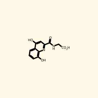 O=C(O)CNC(=O)c1cc(O)c2cccc(O)c2n1